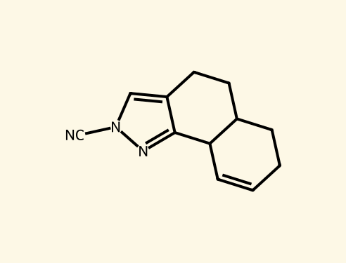 N#Cn1cc2c(n1)C1C=CCCC1CC2